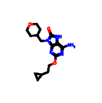 Nc1nc(OCCC2CC2)nc2c1[nH]c(=O)n2CC1CCOCC1